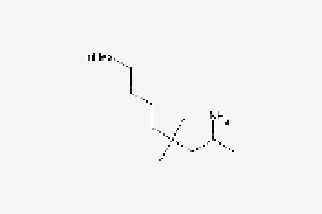 CCCCCCCCCCC(C)(C)CC(C)N